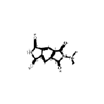 CN(C)n1c(=O)c2cc3c(=O)[nH]c(=O)c3cc2c1=O